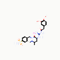 CCC(C)CC(NC(=N)NC(=O)Cc1ccc(OC)c(OC)c1)C(=O)NCc1ccc(S(N)(=O)=O)cc1